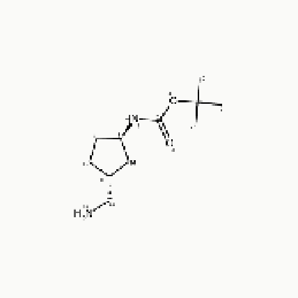 CC(C)(C)OC(=O)N[C@@H]1CC[C@@H](CN)C1